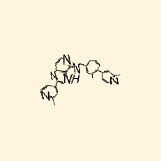 CC1=C(c2ccnc(C)c2)C=CCC(CNc2nccc3nc(-c4ccnc(C)c4)cnc23)=C1